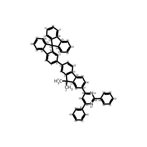 CC1(C)c2cc(-c3ccc4c(c3)C3(c5ccccc5-c5ccccc53)c3ccccc3-4)ccc2-c2ccc(-c3cc(-c4ccccc4)nc(-c4ccccc4)n3)cc21